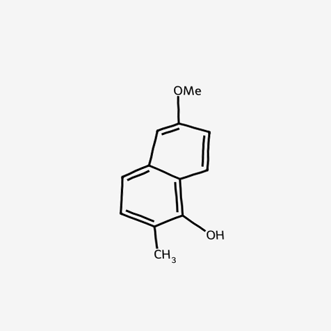 COc1ccc2c(O)c(C)ccc2c1